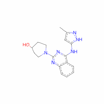 Cc1cc(Nc2nc(N3CCC(O)CC3)nc3ccccc23)[nH]n1